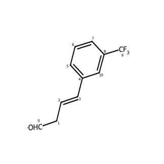 O=[C]CC=Cc1cccc(C(F)(F)F)c1